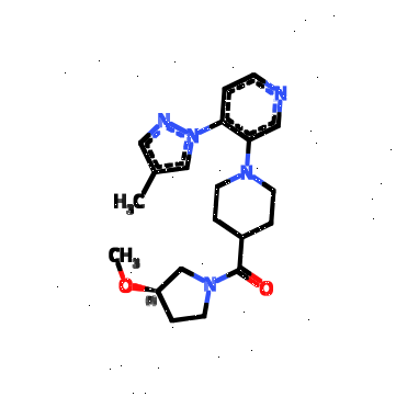 CO[C@@H]1CCN(C(=O)C2CCN(c3cnccc3-n3cc(C)cn3)CC2)C1